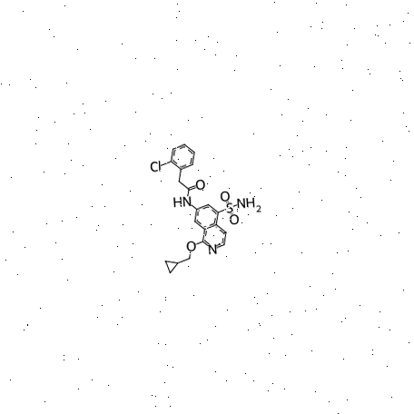 NS(=O)(=O)c1cc(NC(=O)Cc2ccccc2Cl)cc2c(OCC3CC3)nccc12